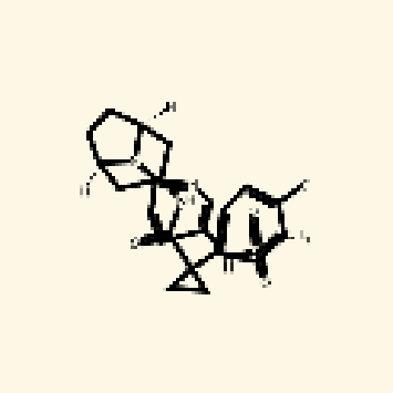 CS(=O)(=O)Nc1ccc(N2[C@@H]3CC[C@H]2C[C@@H](NC(=O)C2(c4ccc(Cl)cc4)CC2)C3)nc1